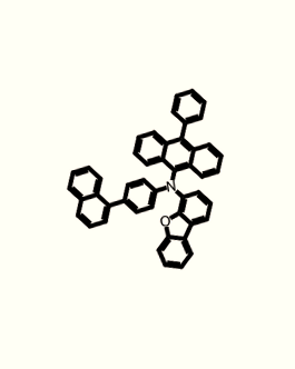 c1ccc(-c2c3ccccc3c(N(c3ccc(-c4cccc5ccccc45)cc3)c3cccc4c3oc3ccccc34)c3ccccc23)cc1